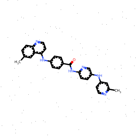 Cc1ccc2nccc(Nc3ccc(C(=O)Nc4ccc(Nc5ccnc(C)c5)cn4)cc3)c2c1